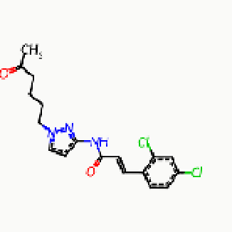 CC(=O)CCCCn1ccc(NC(=O)C=Cc2ccc(Cl)cc2Cl)n1